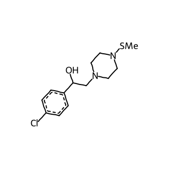 CSN1CCN(CC(O)c2ccc(Cl)cc2)CC1